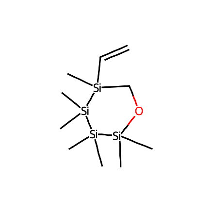 C=C[Si]1(C)CO[Si](C)(C)[Si](C)(C)[Si]1(C)C